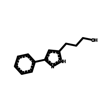 OCCCc1cc(-c2ccccc2)n[nH]1